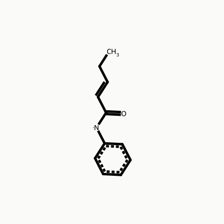 CC/C=C/C(=O)[N]c1ccccc1